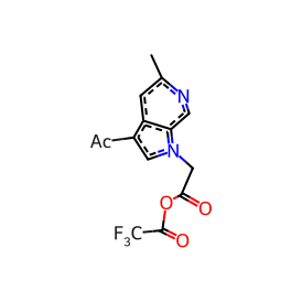 CC(=O)c1cn(CC(=O)OC(=O)C(F)(F)F)c2cnc(C)cc12